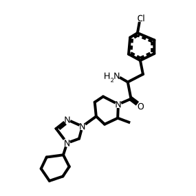 CC1CC(N2CN(C3CCCCC3)C=N2)CCN1C(=O)C(N)Cc1ccc(Cl)cc1